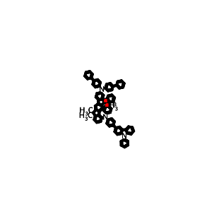 CC1(C)c2cc(N(c3ccc(-c4ccccc4)cc3)c3ccc(-c4ccccc4)cc3)ccc2-c2cc3c(cc21)-c1c(N(c2ccc(-c4ccccc4)cc2)c2ccc(-c4ccc5c(c4)c4ccccc4n5-c4ccccc4)cc2)cccc1C3(C)C